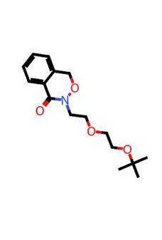 CC(C)(C)OCCOCCN1OCc2ccccc2C1=O